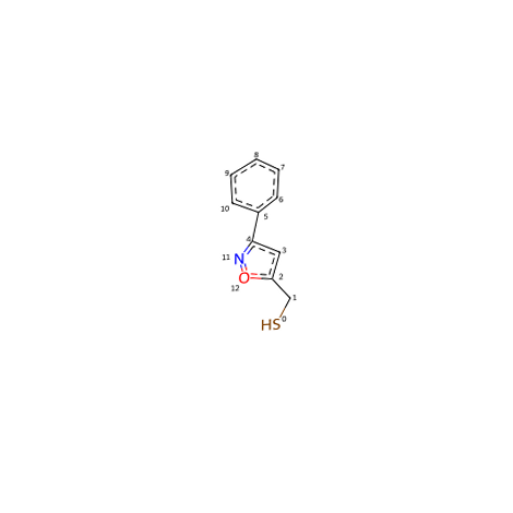 SCc1cc(-c2ccccc2)no1